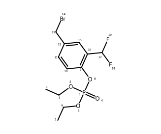 CCOP(=O)(OCC)Oc1ccc(CBr)cc1C(F)F